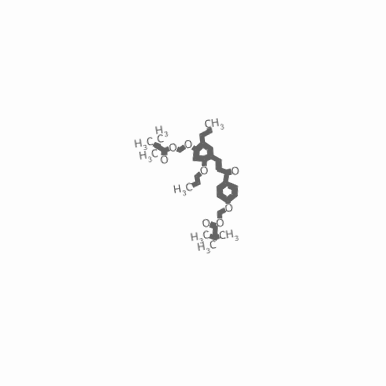 CCCOc1cc(OCOC(=O)C(C)(C)C)c(CCC)cc1C=CC(=O)c1ccc(OCOC(=O)C(C)(C)C)cc1